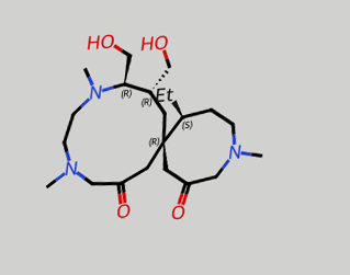 CC[C@H]1CCN(C)CC(=O)C[C@]12CC(=O)CN(C)CCN(C)[C@@H](CO)[C@H](CO)C2